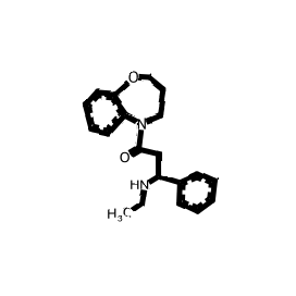 CCNC(CC(=O)N1CCCOc2ccccc21)c1ccccc1